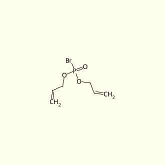 C=CCOP(=O)(Br)OCC=C